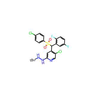 CC(C)(C)NNc1cc(C(c2cc(F)ccc2F)S(=O)(=O)c2ccc(Cl)cc2)c(Cl)cn1